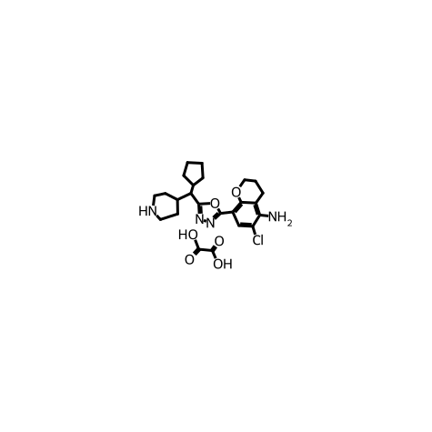 Nc1c(Cl)cc(-c2nnc(C(C3CCCC3)C3CCNCC3)o2)c2c1CCCO2.O=C(O)C(=O)O